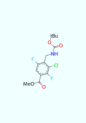 COC(=O)c1cc(F)c(CNC(=O)OC(C)(C)C)c(Cl)c1F